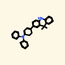 CC1(C)c2ccccc2Nc2ccc(C3=CC=C(N(c4ccccc4)c4ccccc4)CC3)cc21